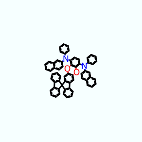 c1ccc(N(c2ccc3ccccc3c2)c2ccc(N(c3ccccc3)c3ccc4ccccc4c3)c3c2Oc2cc4c(cc2O3)C2(c3ccccc3-c3ccccc32)c2ccccc2-4)cc1